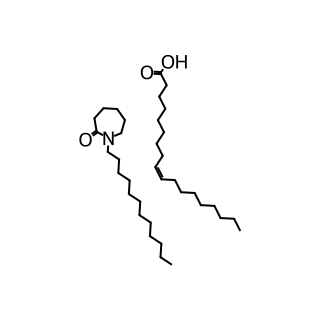 CCCCCCCC/C=C\CCCCCCCC(=O)O.CCCCCCCCCCCCN1CCCCCC1=O